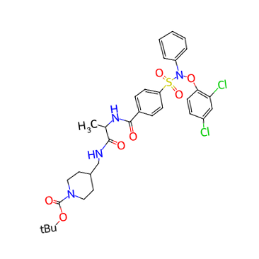 CC(NC(=O)c1ccc(S(=O)(=O)N(Oc2ccc(Cl)cc2Cl)c2ccccc2)cc1)C(=O)NCC1CCN(C(=O)OC(C)(C)C)CC1